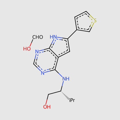 CC(C)[C@H](CO)Nc1ncnc2[nH]c(-c3ccsc3)cc12.O=CO